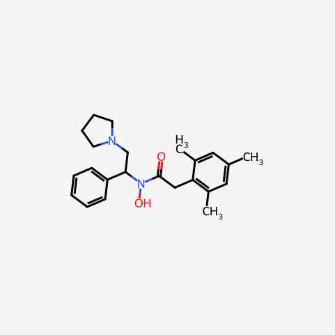 Cc1cc(C)c(CC(=O)N(O)C(CN2CCCC2)c2ccccc2)c(C)c1